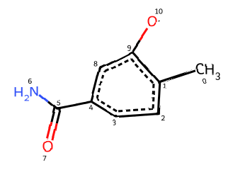 Cc1ccc(C(N)=O)cc1[O]